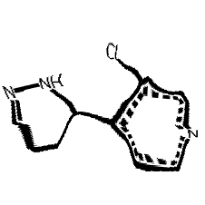 Clc1cnccc1C1CC=NN1